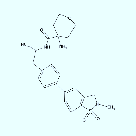 CN1Cc2cc(-c3ccc(C[C@H](C#N)NC(=O)C4(N)CCOCC4)cc3)ccc2S1(=O)=O